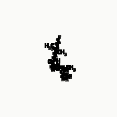 C=C\C(SCCCF)=C(C)/C=C/C=C/C(=O)c1cnn2c1N/C(=C/C(=N\C)Oc1cccc(F)c1)C2